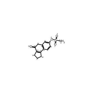 NS(=O)(=O)Oc1ccc2c(c1)CC(=O)C1=C2CCC1